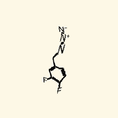 [N-]=[N+]=NCc1ccc(F)c(F)c1